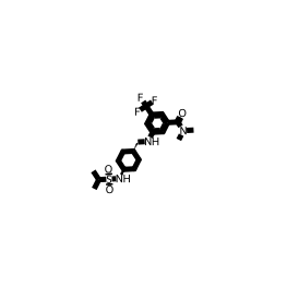 CC(C)S(=O)(=O)N[C@H]1CC[C@H](CNc2cc(C(=O)N(C)C)cc(C(F)(F)F)c2)CC1